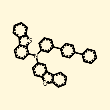 c1ccc(-c2ccc(-c3cccc(N(c4ccc5oc6ccccc6c5c4)c4cccc5c4sc4ccccc45)c3)cc2)cc1